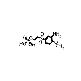 COc1ccc(S(=O)(=O)CCOP(=O)(O)O)cc1N